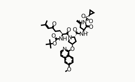 C=CC[C@](C)(NC(=O)[C@@H]1C[C@@H](Oc2nccc3cc(OC)ccc23)CN1C(=O)[C@H](CCC(=O)C=C(C)C)NC(=O)OC(C)(C)C)C(=O)NS(=O)(=O)C1CC1